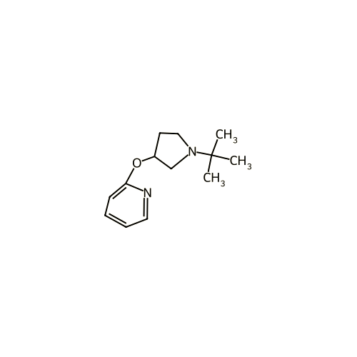 CC(C)(C)N1CCC(Oc2ccccn2)C1